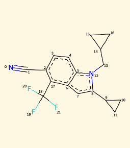 N#Cc1ccc2c(cc(C3CC3)n2CC2CC2)c1C(F)(F)F